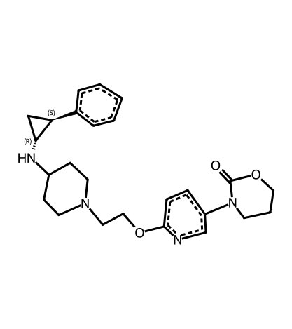 O=C1OCCCN1c1ccc(OCCN2CCC(N[C@@H]3C[C@H]3c3ccccc3)CC2)nc1